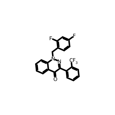 O=c1c(-c2ccccc2C(F)(F)F)nn(Cc2ccc(F)cc2F)c2ccccc12